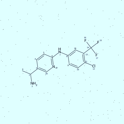 CC(N)c1ccc(Nc2ccc(Cl)c(C(F)(F)F)c2)nc1